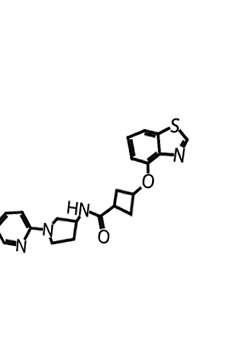 O=C(NC1CCN(c2ccccn2)C1)C1CC(Oc2cccc3scnc23)C1